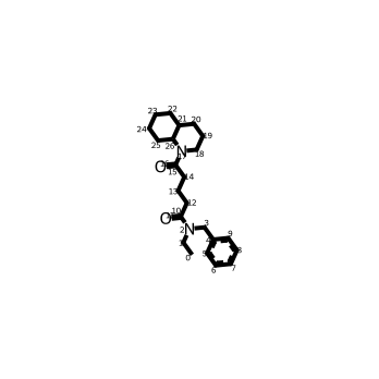 CCN(Cc1ccccc1)C(=O)CCCC(=O)N1CCCC2CCCCC21